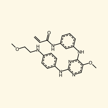 C=CC(=O)Nc1cccc(Nc2nc(Nc3ccc(NCCOC)cc3)ncc2OC)c1